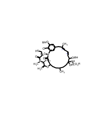 C=C(OC1CCC(C)CCC(O)(NC(=O)O)C(OC)/C=C/C=C(\C)Cc2cc(OC)c(Cl)c(c2)N(C)C(=O)C1)[C@H](C)N(C)C(=O)CCS